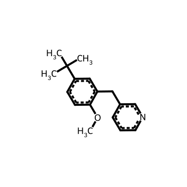 COc1ccc(C(C)(C)C)cc1Cc1cccnc1